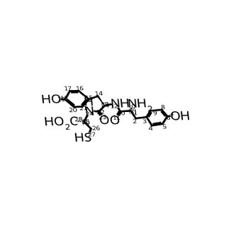 N[C@H](Cc1ccc(O)cc1)C(=O)N[C@H](Cc1ccc(O)cc1)C(=O)N[C@H](CS)C(=O)O